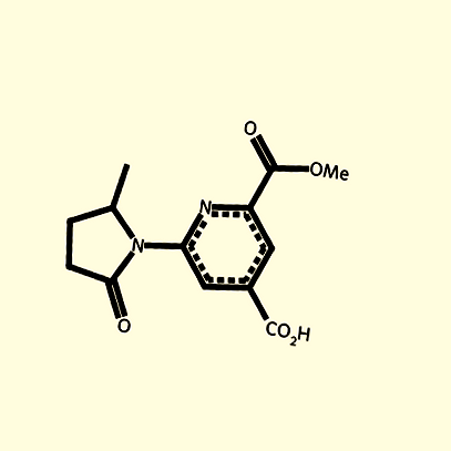 COC(=O)c1cc(C(=O)O)cc(N2C(=O)CCC2C)n1